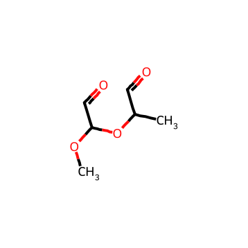 COC(C=O)OC(C)C=O